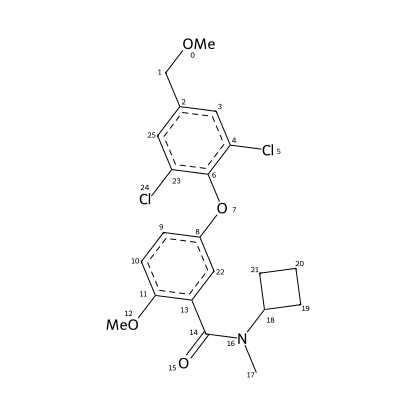 COCc1cc(Cl)c(Oc2ccc(OC)c(C(=O)N(C)C3CCC3)c2)c(Cl)c1